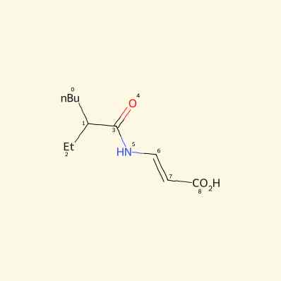 CCCCC(CC)C(=O)NC=CC(=O)O